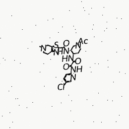 CC(=O)N1CC[C@H](NC(=O)C(=O)Nc2ccc(Cl)cn2)[C@H](NC(=O)c2nc3c(s2)CN(C)CC3)C1